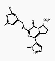 Cc1cc(F)cc(CNc2nc(-c3ccnn3C)c3n(c2=O)[C@H](C(=O)O)CC3)c1